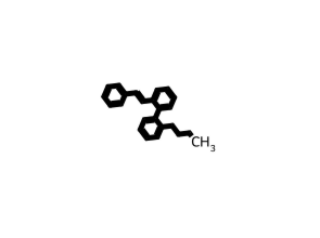 CCCCc1ccccc1-c1ccccc1/C=C/c1ccccc1